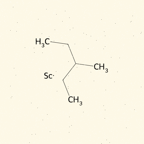 CCC(C)CC.[Sc]